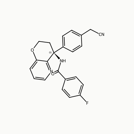 N#CCc1ccc([C@@]2(NC(=O)c3ccc(F)cc3)CCOc3cccnc32)cc1